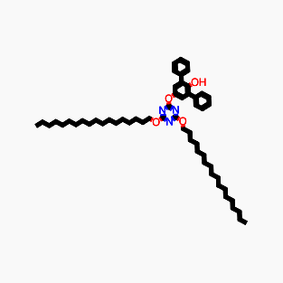 CCCCCCCCCCCCCCCCCCOc1nc(OCCCCCCCCCCCCCCCCCC)nc(Oc2cc(-c3ccccc3)c(O)c(-c3ccccc3)c2)n1